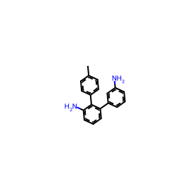 Cc1ccc(-c2c(N)cccc2-c2cccc(N)c2)cc1